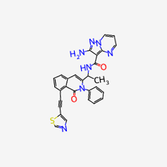 CC(NC(=O)c1c(N)nn2cccnc12)c1cc2cccc(C#Cc3cncs3)c2c(=O)n1-c1ccccc1